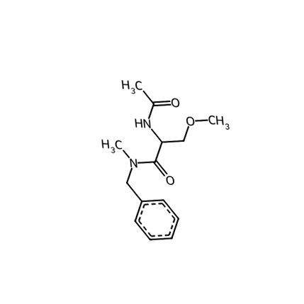 COCC(NC(C)=O)C(=O)N(C)Cc1ccccc1